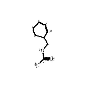 CC(=O)OCC1CC[CH]CC1